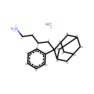 Cl.NCCCCC1(c2ccccc2)C2CC3CC(C2)CC1C3